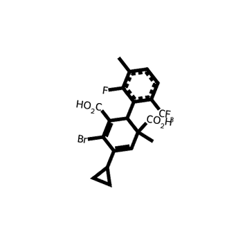 Cc1ccc(C(F)(F)F)c(C2C(C(=O)O)=C(Br)C(C3CC3)=CC2(C)C(=O)O)c1F